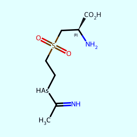 CC(=N)[AsH]CCS(=O)(=O)C[C@H](N)C(=O)O